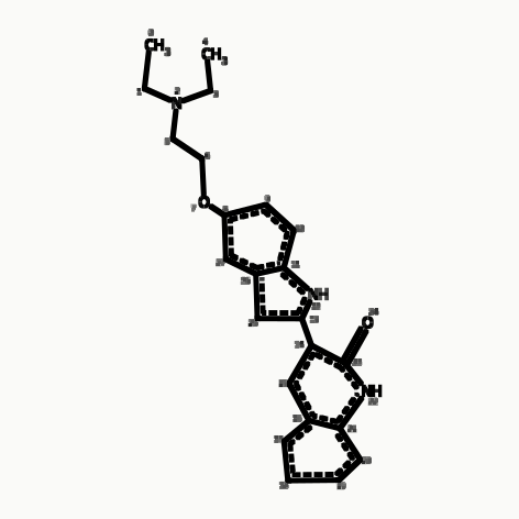 CCN(CC)CCOc1ccc2[nH]c(-c3cc4ccccc4[nH]c3=O)cc2c1